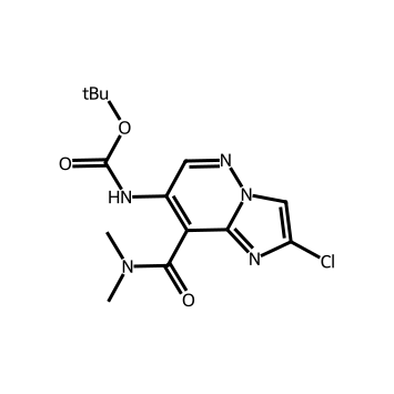 CN(C)C(=O)c1c(NC(=O)OC(C)(C)C)cnn2cc(Cl)nc12